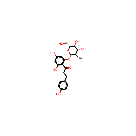 CC(=O)O[C@H]1[C@H](Oc2cc(O)cc(O)c2C(=O)CCc2ccc(O)cc2)O[C@H](CO)[C@@H](O)[C@@H]1O